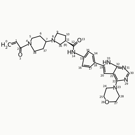 C=CC(=O)N1CCC(N2CC[C@@H](C(=O)Nc3ccc(-c4cc5c(N6CCOCC6)ncnc5[nH]4)cc3)C2)CC1